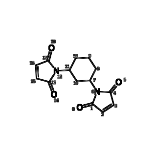 O=C1C=CC(=O)N1C1CCCC(N2C(=O)C=CC2=O)C1